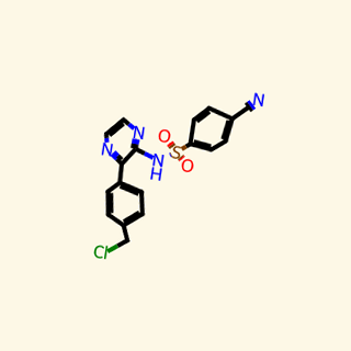 N#Cc1ccc(S(=O)(=O)Nc2nccnc2-c2ccc(CCl)cc2)cc1